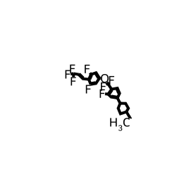 CCC1CCC(c2ccc(C(F)(F)Oc3cc(F)c(/C=C/C(F)(F)F)c(F)c3)c(F)c2)CC1